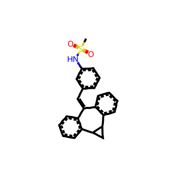 CS(=O)(=O)Nc1cccc(C=C2c3ccccc3C3CC3c3ccccc32)c1